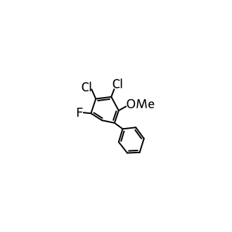 COc1c(-c2ccccc2)cc(F)c(Cl)c1Cl